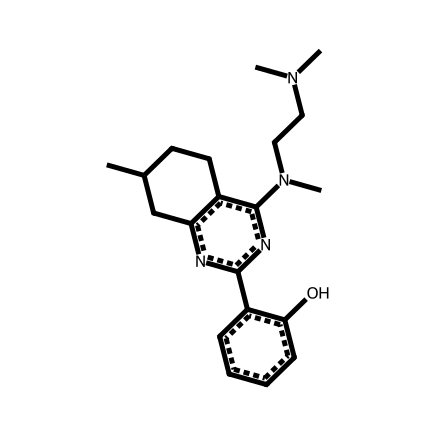 CC1CCc2c(nc(-c3ccccc3O)nc2N(C)CCN(C)C)C1